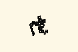 O=C(O)c1ccc2c(c1)CCCC(c1ccc(Cl)cc1Cl)=C2c1ccc(O[C@H]2CCC(CCCCCF)C2)cc1